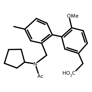 COc1ccc(CC(=O)O)cc1-c1ccc(C)cc1CN(C(C)=O)C1CCCC1